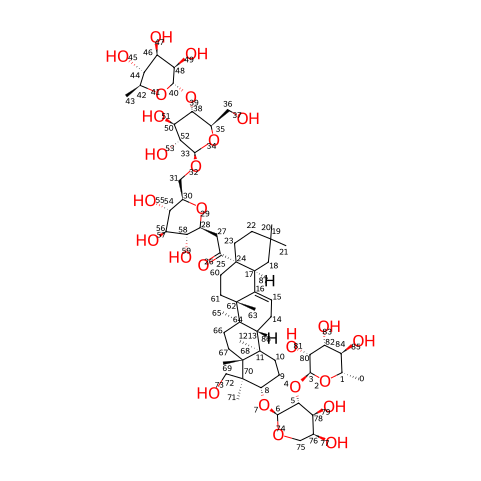 C[C@@H]1O[C@@H](O[C@H]2[C@H](O[C@H]3CC[C@]4(C)[C@H]5CC=C6[C@@H]7CC(C)(C)CC[C@]7(C(=O)C[C@@H]7O[C@H](CO[C@@H]8O[C@H](CO)[C@@H](O[C@@H]9O[C@@H](C)[C@H](O)[C@@H](O)[C@H]9O)[C@H](O)[C@H]8O)[C@@H](O)[C@H](O)[C@H]7O)CC[C@@]6(C)[C@]5(C)CC[C@@]4(C)[C@]3(C)CO)OC[C@H](O)[C@@H]2O)[C@H](O)[C@H](O)[C@H]1O